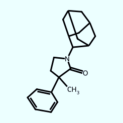 CC1(c2ccccc2)CCN(C2C3CC4CC(C3)CC2C4)C1=O